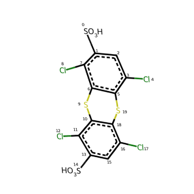 O=S(=O)(O)c1cc(Cl)c2c(c1Cl)Sc1c(Cl)c(S(=O)(=O)O)cc(Cl)c1S2